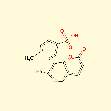 Cc1ccc(S(=O)(=O)O)cc1.O=c1ccc2ccc(S)cc2o1